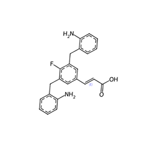 Nc1ccccc1Cc1cc(/C=C/C(=O)O)cc(Cc2ccccc2N)c1F